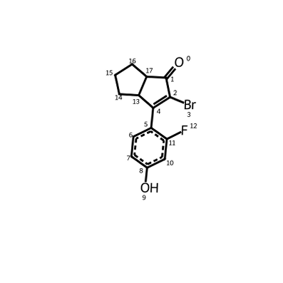 O=C1C(Br)=C(c2ccc(O)cc2F)C2CCCC12